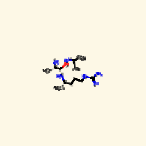 CCCCC(N)C(=O)O.N=C(N)NCCC[C@@H](N)C(=O)O.N[C@H](CO)C(=O)O